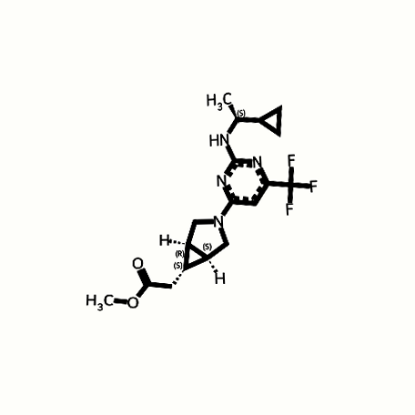 COC(=O)C[C@@H]1[C@H]2CN(c3cc(C(F)(F)F)nc(N[C@@H](C)C4CC4)n3)C[C@@H]12